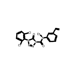 C=Cc1cccc(N(CC)C(=O)n2nnn(-c3c(Cl)cccc3Cl)c2=O)c1